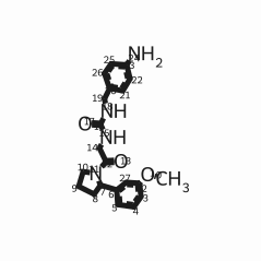 COc1cccc(C2CCCN2C(=O)CNC(=O)NCc2ccc(N)cc2)c1